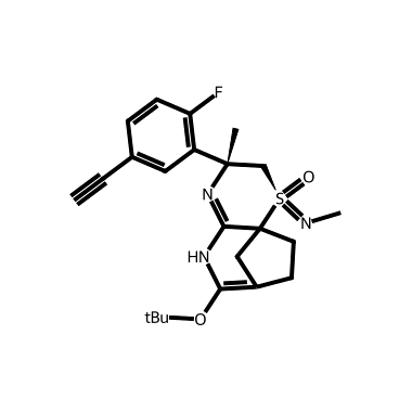 C#Cc1ccc(F)c([C@]2(C)C[S@@](=O)(=NC)C34CCC(=C(OC(C)(C)C)NC3=N2)C4)c1